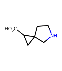 O=C(O)C1CC12CCNC2